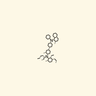 C=C/C=C\C(=C/C)N(c1ccc(-c2ccc(N(c3ccccc3)c3c(C)ccc4ccccc34)cc2)cc1C)c1c(C)ccc(/C=C\C)c1C=C